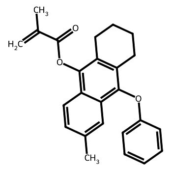 C=C(C)C(=O)Oc1c2c(c(Oc3ccccc3)c3cc(C)ccc13)CCCC2